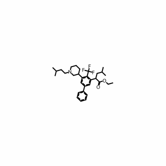 CCOC(=O)C(CC(C)C)c1cc(-c2ccccc2)cc(C2CCCN(CCC(C)C)C2)c1C(F)(F)F